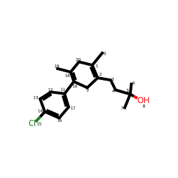 CC1=C(CCC(C)(C)O)CC(c2ccc(Cl)cc2)=C(C)C1